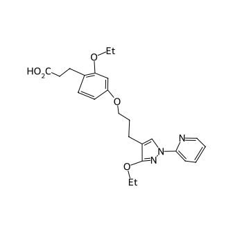 CCOc1cc(OCCCc2cn(-c3ccccn3)nc2OCC)ccc1CCC(=O)O